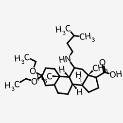 CCOC1(OCC)CC[C@@]2(C)C(CC[C@@H]3[C@H]2C(NCCC(C)C)C[C@]2(C)C(C(=O)O)CC[C@@H]32)C1